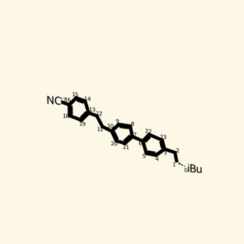 CC[C@@H](C)CCc1ccc(-c2ccc(CCc3ccc(C#N)cc3)cc2)cc1